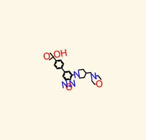 OC1(c2ccc(-c3cc(N4CCC(CN5CCOCC5)CC4)c4nonc4c3)cc2)COC1